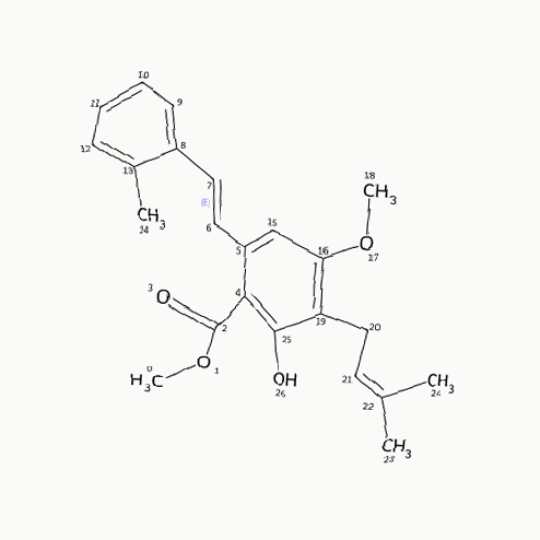 COC(=O)c1c(/C=C/c2ccccc2C)cc(OC)c(CC=C(C)C)c1O